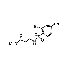 CCc1cc(C#N)ccc1S(=O)(=O)NCCC(=O)OC